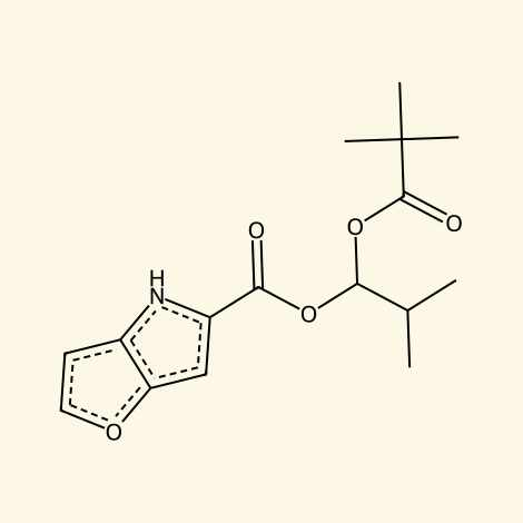 CC(C)C(OC(=O)c1cc2occc2[nH]1)OC(=O)C(C)(C)C